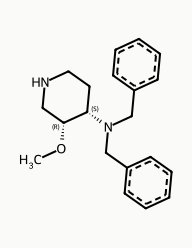 CO[C@@H]1CNCC[C@@H]1N(Cc1ccccc1)Cc1ccccc1